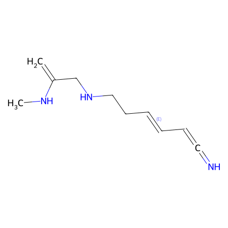 C=C(CNCC/C=C/C=C=N)NC